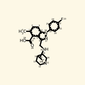 Cc1ccc2c(c(CNC3CN4CCC3CC4)nn2-c2ccc(F)cc2)c1C(=O)O